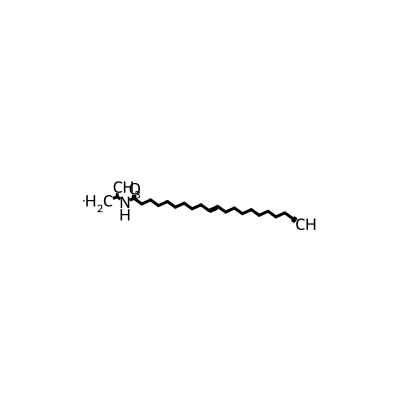 C#CCCCCCCCCC=CCCCCCCCCC(=O)NC([CH2])C